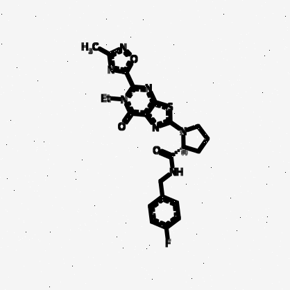 CCn1c(-c2nc(C)no2)nc2sc(N3CCC[C@@H]3C(=O)NCc3ccc(F)cc3)nc2c1=O